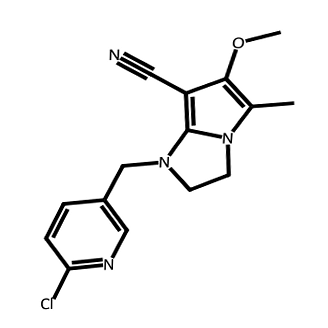 COc1c(C#N)c2n(c1C)CCN2Cc1ccc(Cl)nc1